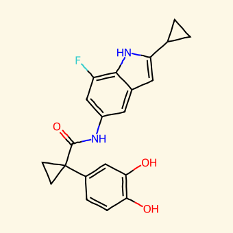 O=C(Nc1cc(F)c2[nH]c(C3CC3)cc2c1)C1(c2ccc(O)c(O)c2)CC1